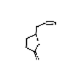 N#CCC1CCC(=O)O1